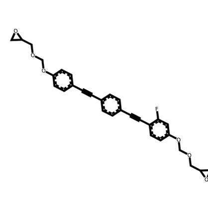 Fc1cc(OCOCC2CO2)ccc1C#Cc1ccc(C#Cc2ccc(OCOCC3CO3)cc2)cc1